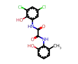 Cc1cccc(O)c1NC(=O)C(=O)Nc1cc(Cl)cc(Cl)c1O